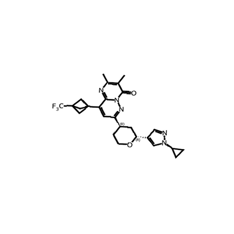 Cc1nc2c(C34CC(C(F)(F)F)(C3)C4)cc([C@@H]3CCO[C@@H](c4cnn(C5CC5)c4)C3)nn2c(=O)c1C